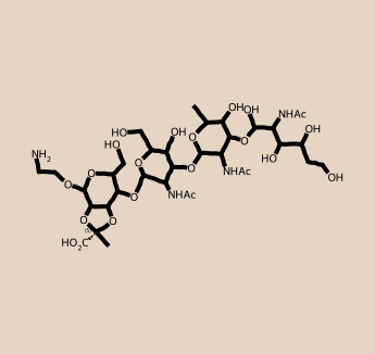 CC(=O)NC(C(O)OC1C(O)C(C)OC(OC2C(O)C(CO)OC(OC3C(CO)OC(OCCN)C4O[C@@](C)(C(=O)O)OC34)C2NC(C)=O)C1NC(C)=O)C(O)C(O)CCO